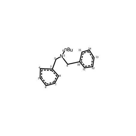 CCCCN(Cc1ccccc1)Cc1ccccc1